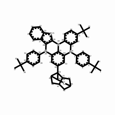 CC(C)(C)c1ccc(N2c3cc(C(C)(C)C)ccc3B3c4sc5ccccc5c4N(c4ccc(C(C)(C)C)cc4)c4cc(C5CC6CC7CC5CC7C6)cc2c43)cc1